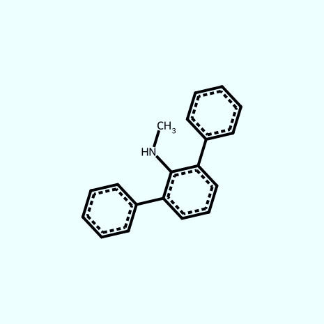 CNc1c(-c2ccccc2)cccc1-c1ccccc1